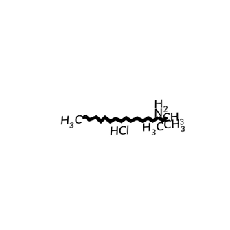 CCCCCCCCCCCCCCCC(N)C(C)(C)C.Cl